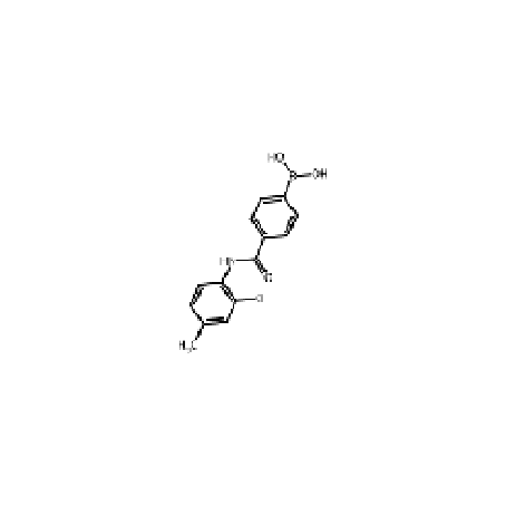 Cc1ccc(NC(=O)c2ccc(B(O)O)cc2)c(Cl)c1